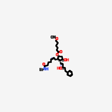 CCNC(=O)CCC/C=C\C[C@@H]1[C@@H](/C=C/[C@@H](O)CCc2ccccc2)[C@H](O)C[C@@H]1OC(=O)CCCCCON=O